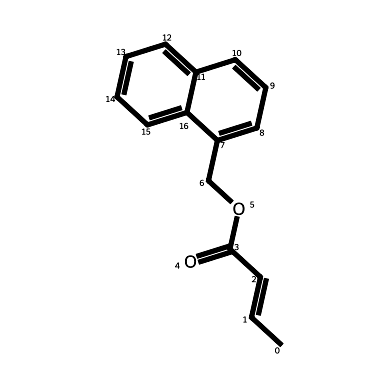 C/C=C/C(=O)OCc1cccc2ccccc12